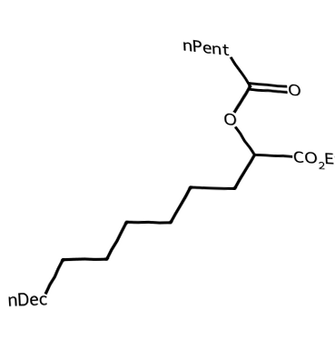 CCCCCCCCCCCCCCCCC(OC(=O)CCCCC)C(=O)OCC